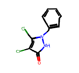 O=c1[nH]n(-c2ccccc2)c(Cl)c1Cl